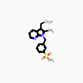 Cc1c(CC(=O)O)c2cccnc2n1Cc1cccc(S(C)(=O)=O)c1